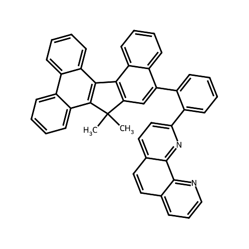 CC1(C)c2cc(-c3ccccc3-c3ccc4ccc5cccnc5c4n3)c3ccccc3c2-c2c1c1ccccc1c1ccccc21